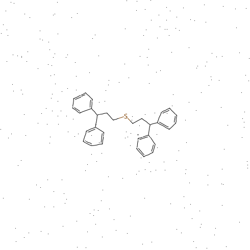 c1ccc(C(CCSCCC(c2ccccc2)c2ccccc2)c2ccccc2)cc1